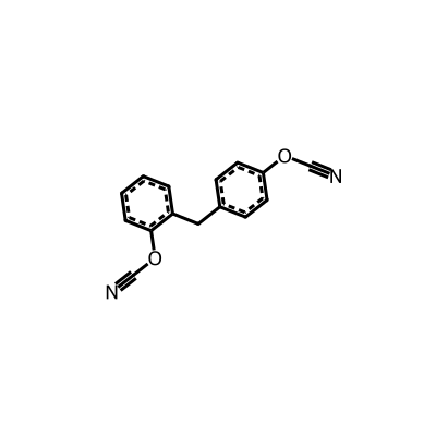 N#COc1ccc(Cc2ccccc2OC#N)cc1